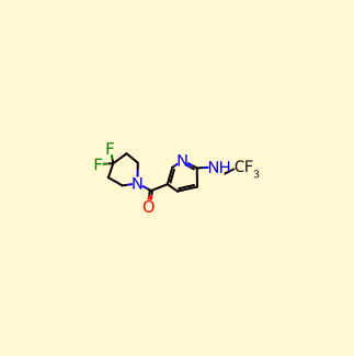 O=C(c1ccc(NCC(F)(F)F)nc1)N1CCC(F)(F)CC1